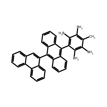 Bc1c(B)c(-c2c3ccccc3c(-c3cc4ccccc4c4ccccc34)c3ccccc23)c(B)c(B)c1C